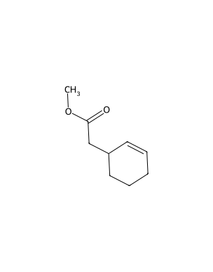 COC(=O)CC1C=CCCC1